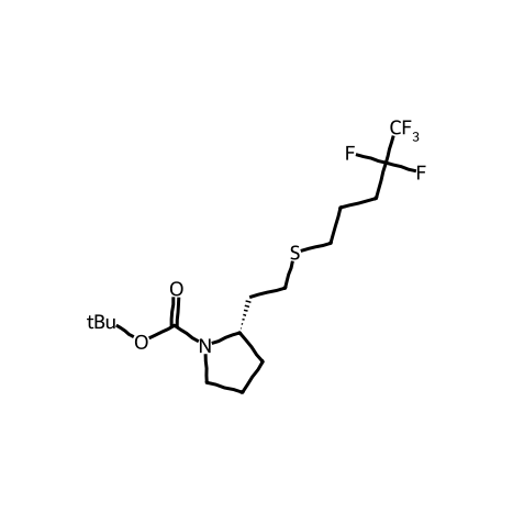 CC(C)(C)OC(=O)N1CCC[C@H]1CCSCCCC(F)(F)C(F)(F)F